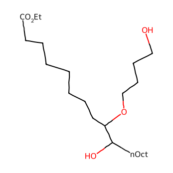 CCCCCCCCC(O)C(CCCCCCCC(=O)OCC)OCCCCO